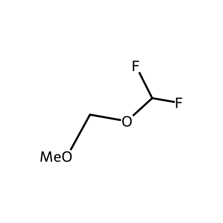 COCOC(F)F